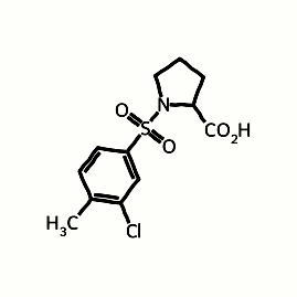 Cc1ccc(S(=O)(=O)N2CCCC2C(=O)O)cc1Cl